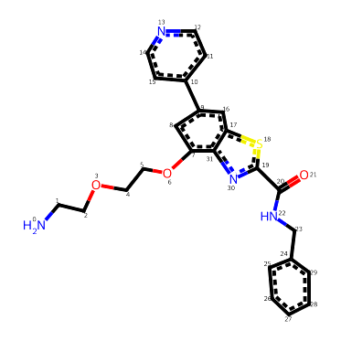 NCCOCCOc1cc(-c2ccncc2)cc2sc(C(=O)NCc3ccccc3)nc12